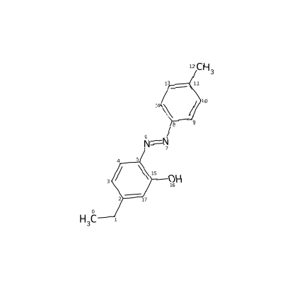 CCc1ccc(/N=N/c2ccc(C)cc2)c(O)c1